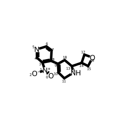 O=[N+]([O-])c1cnccc1C1=CCNC(C2COC2)C1